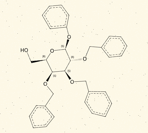 OC[C@H]1O[C@@H](Oc2ccccc2)[C@H](OCc2ccccc2)[C@@H](OCc2ccccc2)[C@H]1OCc1ccccc1